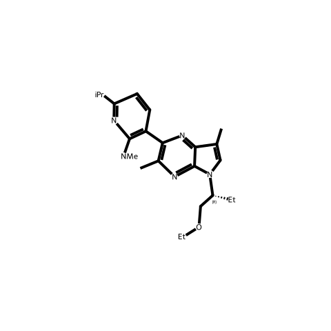 CCOC[C@@H](CC)n1cc(C)c2nc(-c3ccc(C(C)C)nc3NC)c(C)nc21